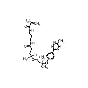 C=C(C)C(=O)NCCCNC(=O)CCC(C)(C)OCCC(C)(C)Oc1ccc(-c2nnc(C)nn2)cc1